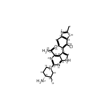 Cc1nc2ccc(-c3c[nH]c4nc(N5CC[C@@H](N)[C@H](F)C5)nc(C(N)=O)c34)c(Cl)c2s1